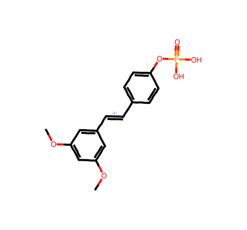 COc1cc(/C=C/c2ccc(OP(=O)(O)O)cc2)cc(OC)c1